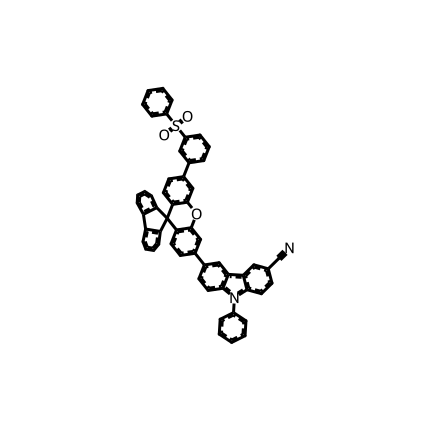 N#Cc1ccc2c(c1)c1cc(-c3ccc4c(c3)Oc3cc(-c5cccc(S(=O)(=O)c6ccccc6)c5)ccc3C43c4ccccc4-c4ccccc43)ccc1n2-c1ccccc1